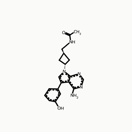 CC(=O)NC[C@H]1C[C@H](n2cc(-c3cccc(O)c3)c3c(N)ncnc32)C1